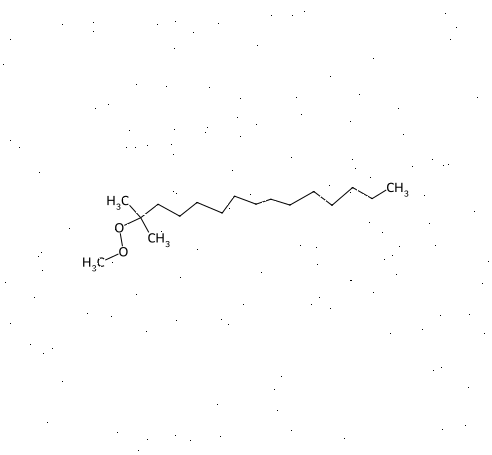 CCCCCCCCCCCCCC(C)(C)OOC